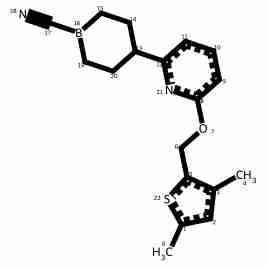 Cc1cc(C)c(COc2cccc(C3CCB(C#N)CC3)n2)s1